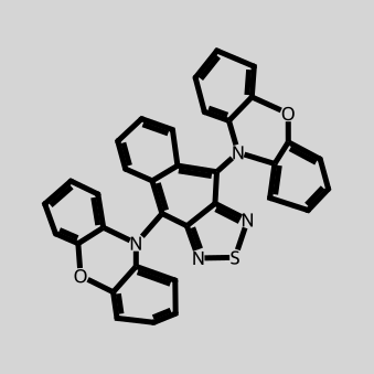 c1ccc2c(c1)Oc1ccccc1N2c1c2ccccc2c(N2c3ccccc3Oc3ccccc32)c2nsnc12